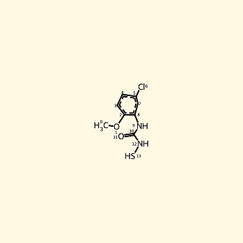 COc1ccc(Cl)cc1NC(=O)NS